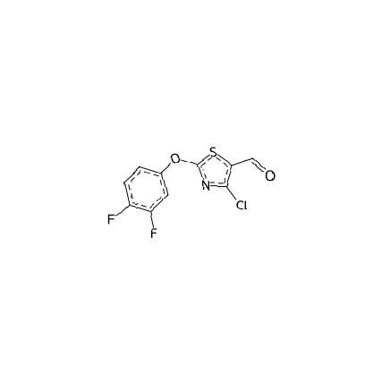 O=Cc1sc(Oc2ccc(F)c(F)c2)nc1Cl